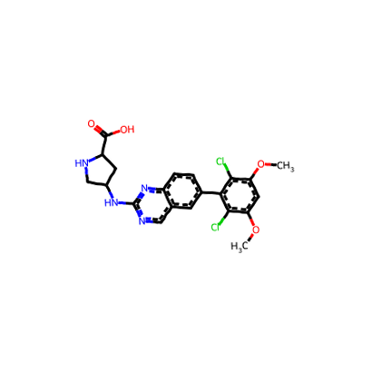 COc1cc(OC)c(Cl)c(-c2ccc3nc(NC4CNC(C(=O)O)C4)ncc3c2)c1Cl